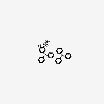 C=O.[Cl-].[Rh].c1ccc(P(c2ccccc2)c2ccccc2)cc1.c1ccc(P(c2ccccc2)c2ccccc2)cc1